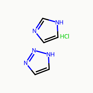 Cl.c1c[nH]cn1.c1c[nH]nn1